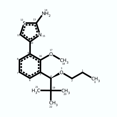 CCCO[C@H](c1cccc(-c2csc(N)n2)c1OC)C(C)(C)C